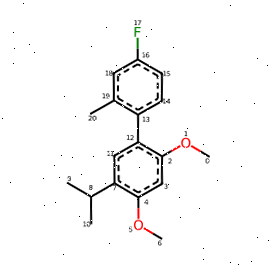 COc1cc(OC)c(C(C)C)cc1-c1ccc(F)cc1C